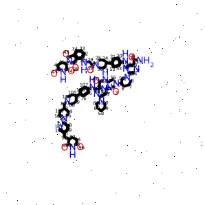 CN1C(=O)N([C@@H]2CCCN(c3cnc(C(N)=O)c(Nc4ccc(C5CCN(C(=O)CNc6cccc7c6C(=O)N(C6CCC(=O)NC6=O)C7=O)CC5)cc4)n3)C2)CC1NC(=O)c1ncc(N2CCCCC2)nc1Nc1ccc(C2CCN(CC3CCN(c4ccc(CC5CCC(=O)NC5=O)cn4)CC3)CC2)cc1